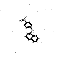 O=[N+]([O-])c1ccc(Sc2cccc3ccccc23)cc1